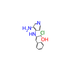 Nc1cnccc1N/C(=C/c1ccccc1)C(O)Cl